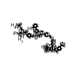 Cc1ncsc1-c1ccc([C@H](C)NC(=O)[C@@H]2C[C@@H](OP(=O)(OC(C)(C)C)OC(C)(C)C)CN2C(=O)[C@@H](c2cc(OCCN3CCC(N4CCN5c6cc(-c7ccccc7O)nnc6N(C(=O)OCc6ccc(NC(=O)[C@H](CCCNC(N)=O)NC(=O)[C@@H](N)C(C)C)cc6)[C@@H](C)[C@@H]5C4)CC3)no2)C(C)C)cc1